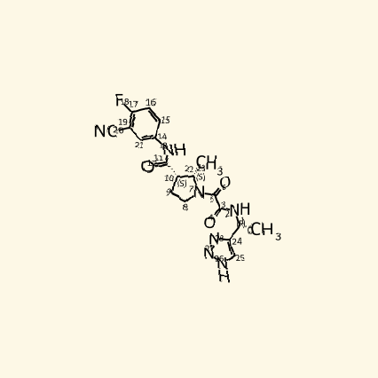 C[C@@H](NC(=O)C(=O)N1CC[C@H](C(=O)Nc2ccc(F)c(C#N)c2)[C@@H]1C)c1c[nH]nn1